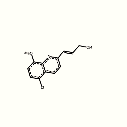 COc1ccc(Cl)c2ccc(C=CCO)nc12